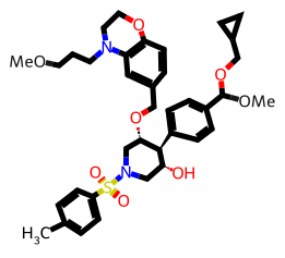 COCCCN1CCOc2ccc(CO[C@H]3CN(S(=O)(=O)c4ccc(C)cc4)C[C@@H](O)[C@@H]3c3ccc(C(OC)OCC4CC4)cc3)cc21